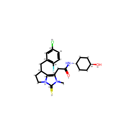 Cn1c(CC(=O)N[C@H]2CC[C@H](O)CC2)c2n(c1=S)CCC2Cc1cc(Cl)ccc1F